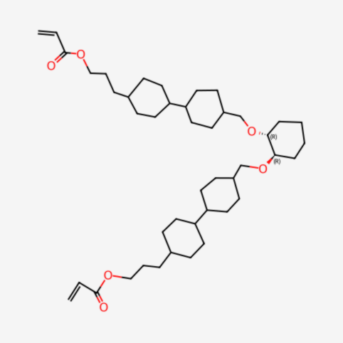 C=CC(=O)OCCCC1CCC(C2CCC(CO[C@@H]3CCCC[C@H]3OCC3CCC(C4CCC(CCCOC(=O)C=C)CC4)CC3)CC2)CC1